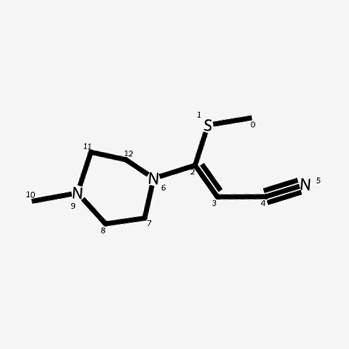 CSC(=CC#N)N1CCN(C)CC1